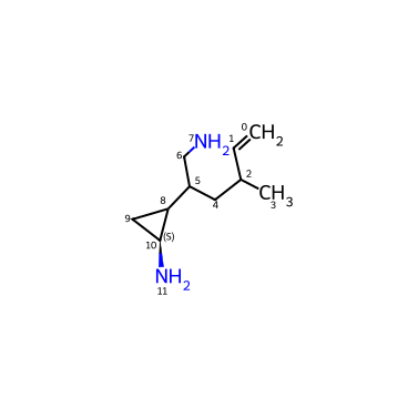 C=CC(C)CC(CN)C1C[C@@H]1N